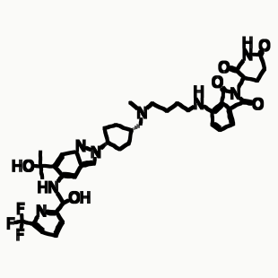 CN(CCCCNc1cccc2c1C(=O)N(C1CCC(=O)NC1=O)C2=O)C[C@H]1CC[C@H](n2cc3cc(NC(O)c4cccc(C(F)(F)F)n4)c(C(C)(C)O)cc3n2)CC1